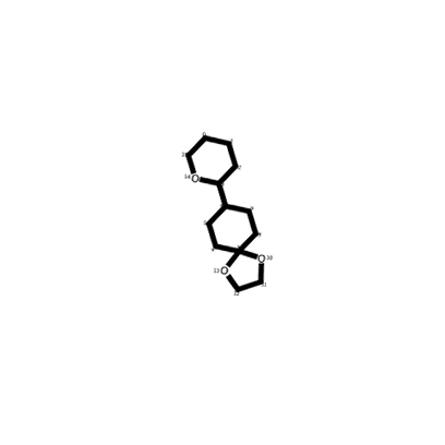 C1CCC(C2CCC3(CC2)OCCO3)OC1